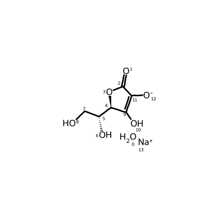 O.O=C1O[C@H]([C@H](O)CO)C(O)=C1[O-].[Na+]